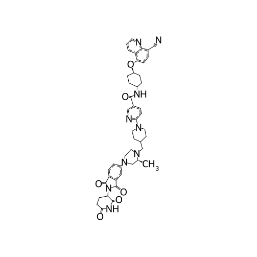 C[C@H]1CN(c2ccc3c(c2)C(=O)N(C2CCC(=O)NC2=O)C3=O)CCN1CC1CCN(c2ccc(C(=O)N[C@H]3CC[C@H](Oc4ccc(C#N)c5ncccc45)CC3)cn2)CC1